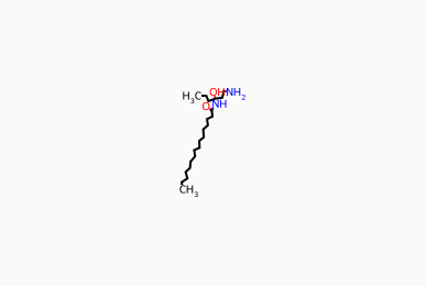 CCCCCCCCCCCCCCCC(=O)NC(O)(CCC)CCN